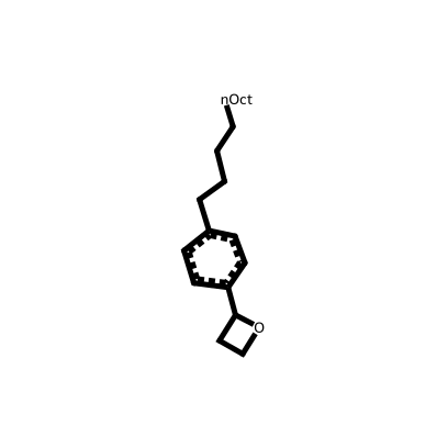 CCCCCCCCCCCCc1ccc(C2CCO2)cc1